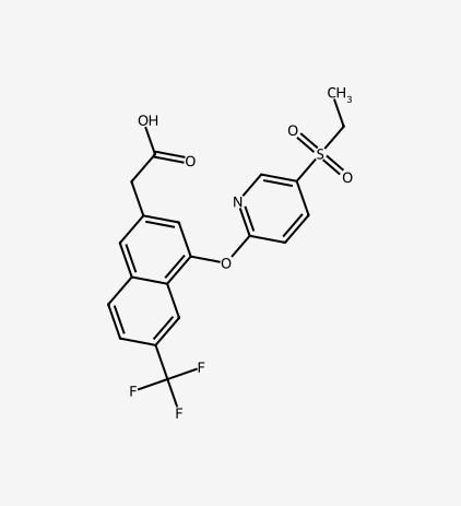 CCS(=O)(=O)c1ccc(Oc2cc(CC(=O)O)cc3ccc(C(F)(F)F)cc23)nc1